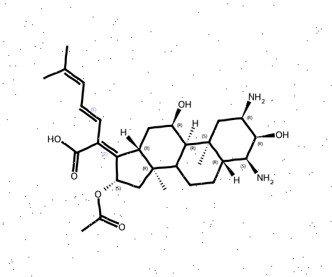 CC(=O)O[C@H]1C[C@]2(C)C3CC[C@H]4[C@H](N)[C@H](O)[C@H](N)C[C@]4(C)[C@@H]3[C@H](O)C[C@H]2/C1=C(\C=C\C=C(C)C)C(=O)O